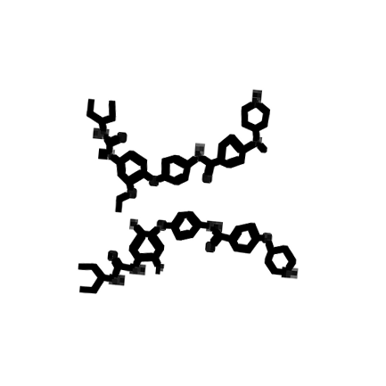 CCC(CC)NC(=O)Nc1cc(F)c(Oc2ccc(NC(=O)c3ccc(OC4CCNCC4)cc3)cc2)cc1F.CCOc1cc(NC(=O)NC(CC)CC)ccc1Oc1ccc(NC(=O)c2ccc(N(C)C3CCNCC3)cc2)cc1